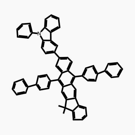 CC1(C)c2ccccc2-c2cc3c(-c4ccc(-c5ccccc5)cc4)c4ccc(-c5ccc6c(c5)c5ccccc5n6-c5ccccc5)cc4c(-c4ccc(-c5ccccc5)cc4)c3cc21